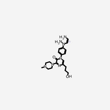 CN1CCN(c2nc(CCCO)cn(-c3ccc(N(N)/C=C\N)cc3)c2=O)CC1